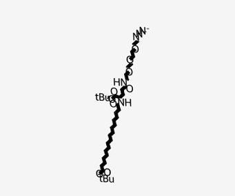 CC(C)(C)OC(=O)CCCCCCCCCCCCCCCCC(=O)NC(CCC(=O)NCCOCCOCCOCCN=[N+]=[N-])C(=O)OC(C)(C)C